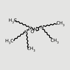 CCCCCCCCCN(CCCCCCCCC)CCN(CCCCCCCCC)CC(=O)N1CCC(CN(CCCCCCCCC)CCCCCCCCC)C1